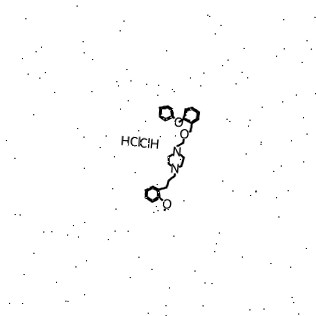 COc1ccccc1CCCN1CCN(CCOCc2ccccc2Oc2ccccc2)CC1.Cl.Cl